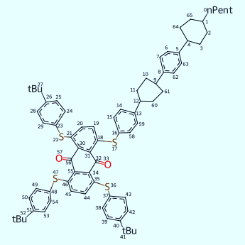 CCCCCC1CCC(c2ccc(C3CCC(c4ccc(Sc5ccc(Sc6ccc(C(C)(C)C)cc6)c6c5C(=O)c5c(Sc7ccc(C(C)(C)C)cc7)ccc(Sc7ccc(C(C)(C)C)cc7)c5C6=O)cc4)CC3)cc2)CC1